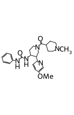 COc1ccc(C2CN(C(=O)C3CCN(C)CC3)CCC2NC(=O)Nc2ccccc2)nc1